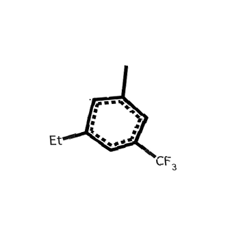 CCc1[c]c(C)cc(C(F)(F)F)c1